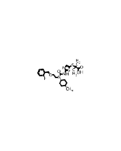 CC(C)(Sc1cnc(NC(=O)N(CCOCc2ccccc2F)[C@H]2CC[C@H](C)CC2)s1)C(=O)O